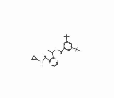 CC(NC(=O)c1cc(C(F)(F)F)cc(C(F)(F)F)c1)c1nccnc1C(=O)NC1CC1